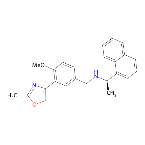 COc1ccc(CN[C@H](C)c2cccc3ccccc23)cc1-c1coc(C)n1